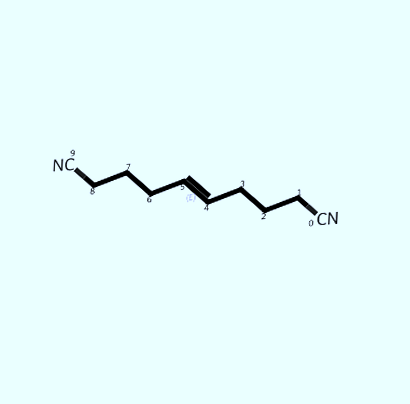 N#CCCC/C=C/CCCC#N